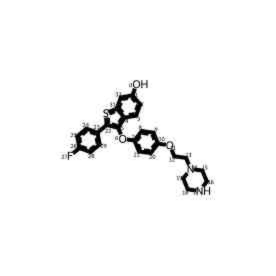 Oc1ccc2c(Oc3ccc(OCCN4CCNCC4)cc3)c(-c3ccc(F)cc3)sc2c1